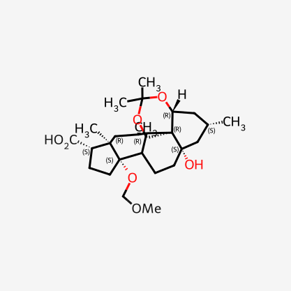 COCO[C@]12CC[C@H](C(=O)O)[C@@]1(C)C[C@@H](C)C1C2CC[C@]2(O)C[C@@H](C)C[C@H]3OC(C)(C)OC[C@]132